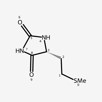 CSCC[C@H]1NC(=O)NC1=O